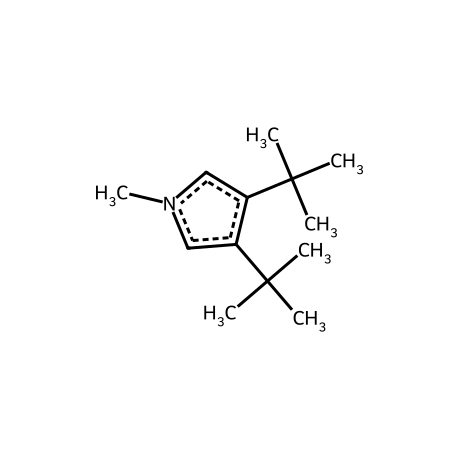 Cn1cc(C(C)(C)C)c(C(C)(C)C)c1